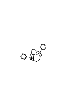 c1ccc(-c2cc3nc4c2ccc2c(-c5ccccc5)cc(nc24)CC3)cc1